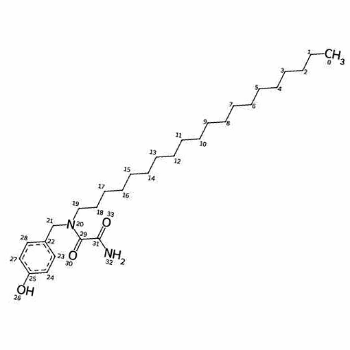 CCCCCCCCCCCCCCCCCCCCN(Cc1ccc(O)cc1)C(=O)C(N)=O